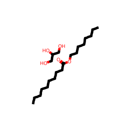 CCCCCCCCCC(=O)OCCCCCCCC.OCC(O)CO